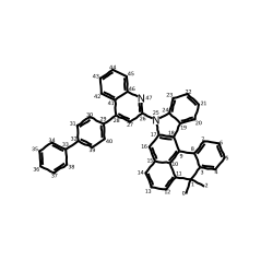 CC1(C)c2ccccc2-c2c3c1cccc3cc1c2c2ccccc2n1-c1cc(-c2ccc(-c3ccccc3)cc2)c2ccccc2n1